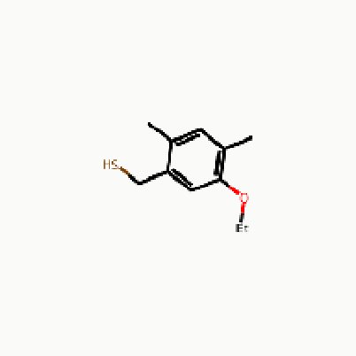 CCOc1cc(CS)c(C)cc1C